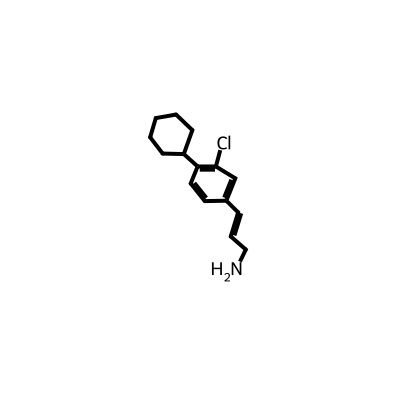 NC/C=C/c1ccc(C2CCCCC2)c(Cl)c1